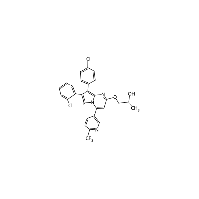 C[C@@H](O)COc1cc(-c2ccc(C(F)(F)F)nc2)n2nc(-c3ccccc3Cl)c(-c3ccc(Cl)cc3)c2n1